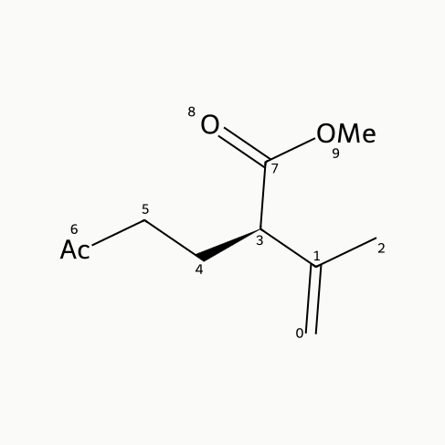 C=C(C)[C@@H](CCC(C)=O)C(=O)OC